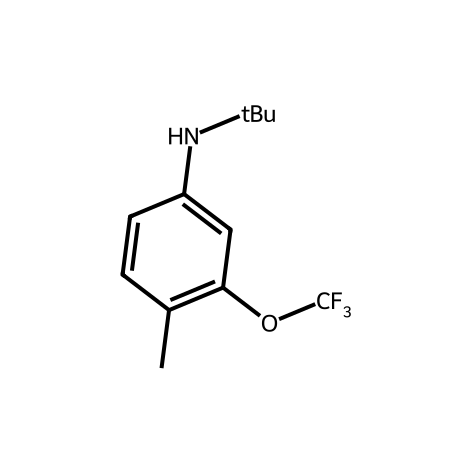 Cc1ccc(NC(C)(C)C)cc1OC(F)(F)F